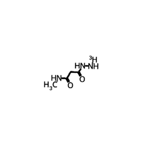 [3H]NNC(=O)CC(=O)NC